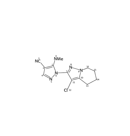 CNc1c(C#N)cnn1-c1nn2c(c1Cl)CCCC2